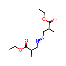 CCOC(=O)C(C)CN=NCC(C)C(=O)OCC